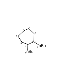 CCCC[C]1CCCCCC1CCCC